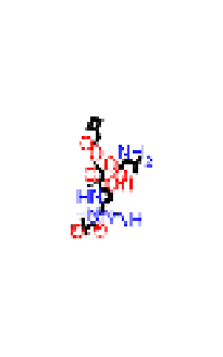 COC(C)(C)C(=O)N/C(=N/C=N)c1ccc([C@]2(C)O[C@H](COC(=O)CC3CCC3)[C@@H](OC(=O)[C@H](N)C(C)C)[C@H]2O)[nH]1